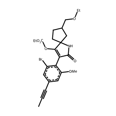 CC#Cc1cc(Br)c(C2=C(OC(=O)OCC)C3(CCC(COCC)C3)NC2=O)c(OC)c1